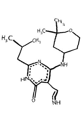 CC(C)Cc1nc(NC2CCOC(C)(C)C2)c(C=N)c(=O)[nH]1